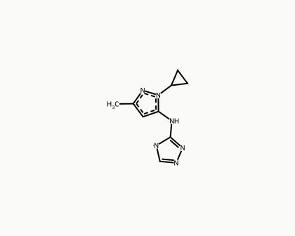 Cc1cc(NC2=NN=C[N]2)n(C2CC2)n1